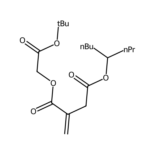 C=C(CC(=O)OC(CCC)CCCC)C(=O)OCC(=O)OC(C)(C)C